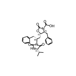 CC(C)[C@@H]1NC(=O)N([C@H](Cc2ccccc2)C[C@@H]2OC(=O)N(C(=O)O)[C@H]2Cc2ccccc2)C1=O